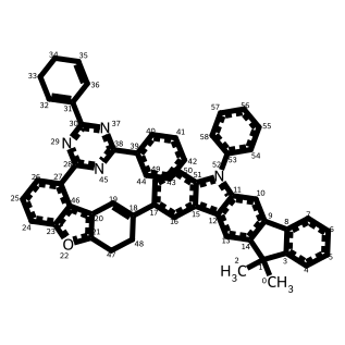 CC1(C)c2ccccc2-c2cc3c(cc21)c1cc(C2=Cc4c(oc5cccc(-c6nc(C7=CCCC=C7)nc(-c7ccccc7)n6)c45)CC2)ccc1n3-c1ccccc1